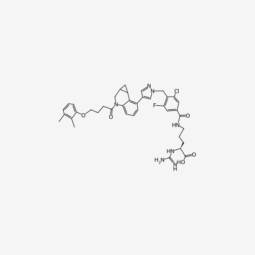 Cc1cccc(OCCCC(=O)N2CC3CC3c3c(-c4cnn(Cc5c(F)cc(C(=O)NCCC[C@H](NC(=N)N)C(=O)O)cc5Cl)c4)cccc32)c1C